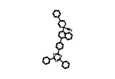 N#CC1(c2ccc(-c3ccc(-c4nc(-c5ccccc5)nc(-c5ccccc5)n4)cc3)c3ccccc23)C=CC(c2ccccc2)=CC1